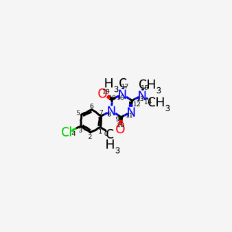 Cc1cc(Cl)ccc1-n1c(=O)nc(N(C)C)n(C)c1=O